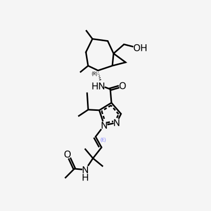 CC(=O)NC(C)(C)/C=C/n1ncc(C(=O)N[C@@H]2C(C)CC(C)CC3(CO)CC23)c1C(C)C